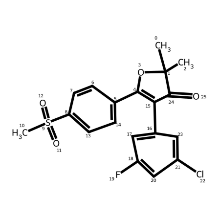 CC1(C)OC(c2ccc(S(C)(=O)=O)cc2)=C(c2cc(F)cc(Cl)c2)C1=O